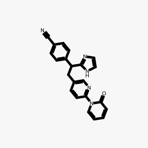 N#Cc1ccc(C(Cc2ccc(-n3ccccc3=O)nc2)c2ncc[nH]2)cc1